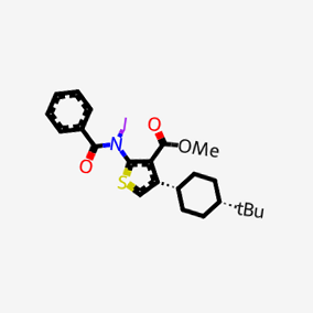 COC(=O)c1c(N(I)C(=O)c2ccccc2)scc1[C@H]1CC[C@@H](C(C)(C)C)CC1